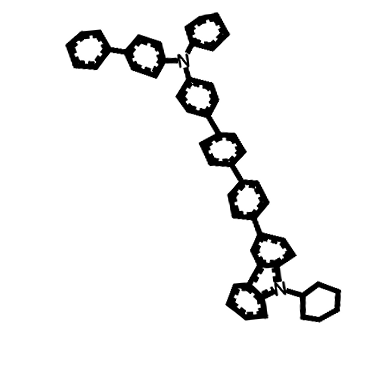 c1ccc(-c2ccc(N(c3ccccc3)c3ccc(-c4ccc(-c5ccc(-c6ccc7c(c6)c6ccccc6n7C6CCCCC6)cc5)cc4)cc3)cc2)cc1